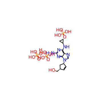 Nc1nc(NC2CC2)c2ncn([C@H]3C=C[C@@H](CO)C3)c2n1.O=P(O)(O)O.O=P(O)(O)O.O=P(O)(O)O